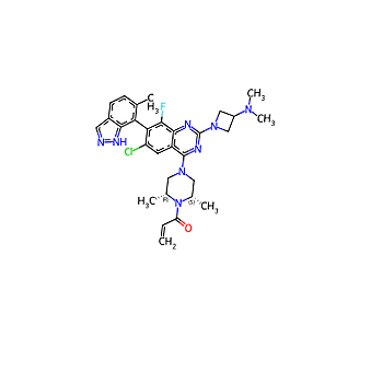 C=CC(=O)N1[C@H](C)CN(c2nc(N3CC(N(C)C)C3)nc3c(F)c(-c4c(C)ccc5cn[nH]c45)c(Cl)cc23)C[C@@H]1C